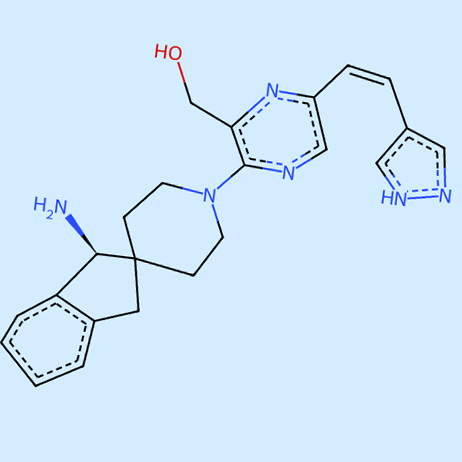 N[C@@H]1c2ccccc2CC12CCN(c1ncc(/C=C\c3cn[nH]c3)nc1CO)CC2